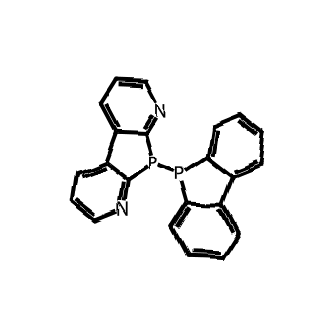 c1ccc2c(c1)c1ccccc1p2-p1c2ncccc2c2cccnc21